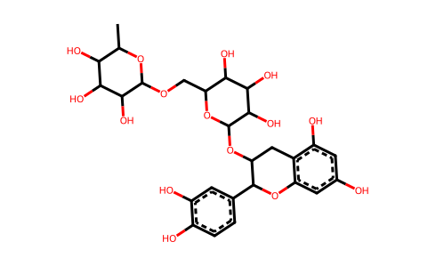 CC1OC(OCC2OC(OC3Cc4c(O)cc(O)cc4OC3c3ccc(O)c(O)c3)C(O)C(O)C2O)C(O)C(O)C1O